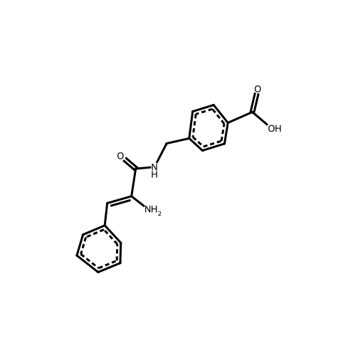 NC(=Cc1ccccc1)C(=O)NCc1ccc(C(=O)O)cc1